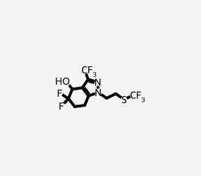 OC1c2c(C(F)(F)F)nn(CCSC(F)(F)F)c2CCC1(F)F